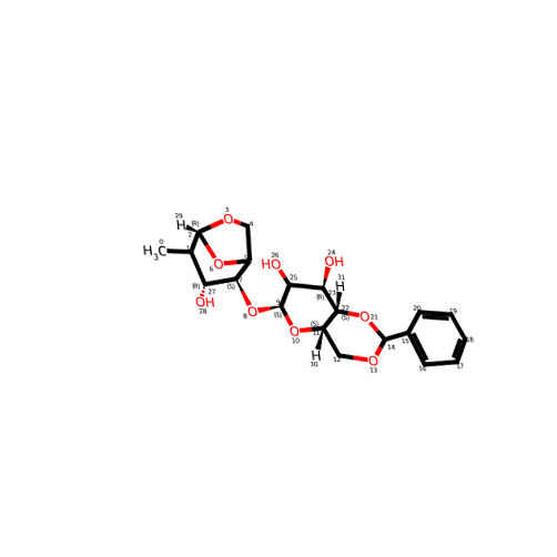 CC1[C@@H]2OCC(O2)[C@@H](O[C@@H]2O[C@H]3COC(c4ccccc4)O[C@H]3[C@H](O)C2O)[C@@H]1O